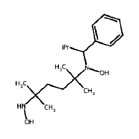 CC(C)C(c1ccccc1)N(O)C(C)(C)CCC(C)(C)NO